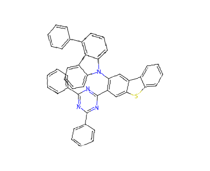 c1ccc(-c2nc(-c3ccccc3)nc(-c3cc4sc5ccccc5c4cc3-n3c4ccccc4c4c(-c5ccccc5)cccc43)n2)cc1